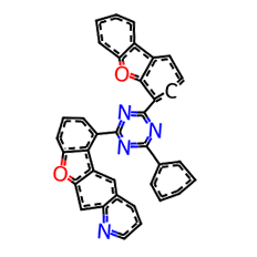 c1ccc(-c2nc(-c3cccc4c3oc3ccccc34)nc(-c3cccc4oc5cc6ncccc6cc5c34)n2)cc1